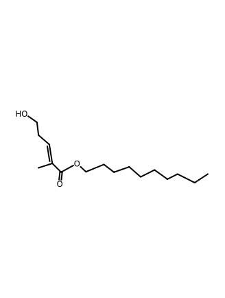 CCCCCCCCCCOC(=O)C(C)=CCCO